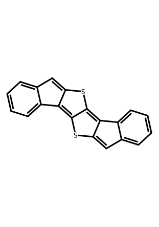 C1=c2sc3c4c(sc3c2-c2ccccc21)=Cc1ccccc1-4